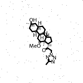 CO[C@@H]1C[C@H]2[C@@H](CC[C@@H]3C[C@](C)(O)CC[C@@H]32)[C@@H]2CC[C@H](C(=O)Cn3nnc(C)n3)[C@@]12C